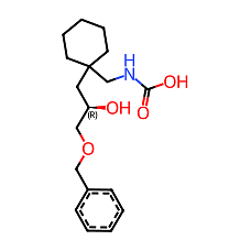 O=C(O)NCC1(C[C@@H](O)COCc2ccccc2)CCCCC1